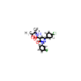 C[C@@H](O)[C@H](NC(=O)c1cc(-c2ccc(Cl)cc2)nn(-c2cccc(F)c2)c1=O)C(F)(F)F